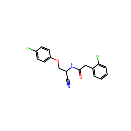 N#CC(COc1ccc(Cl)cc1)NC(=O)Cc1ccccc1Cl